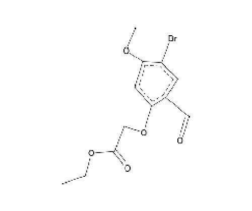 CCOC(=O)COc1cc(OC)c(Br)cc1C=O